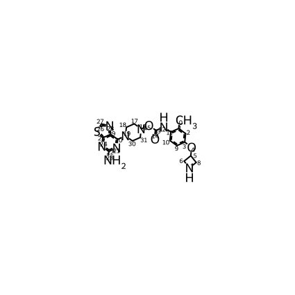 Cc1cc(OC2CNC2)ccc1NC(=O)ON1CCN(c2nc(N)nc3scnc23)CC1